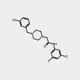 O=C(CN1CCN(Cc2cccc(Cl)c2)CC1)Nc1cc(F)cc(Cl)c1